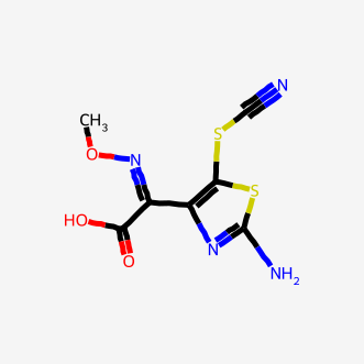 CO/N=C(\C(=O)O)c1nc(N)sc1SC#N